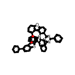 c1ccc(-c2ccc3sc4ccc(-c5cccc6oc7ccc(-c8nc(-c9ccccc9)nc(-c9ccccc9)n8)c(-n8c9ccccc9c9ccccc98)c7c56)cc4c3c2)cc1